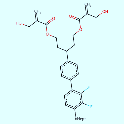 C=C(CO)C(=O)OCCC(CCOC(=O)C(=C)CO)c1ccc(-c2ccc(CCCCCCC)c(F)c2F)cc1